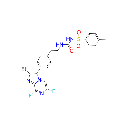 CCc1nc2c(F)nc(F)cn2c1-c1ccc(CCNC(=O)NS(=O)(=O)c2ccc(C)cc2)cc1